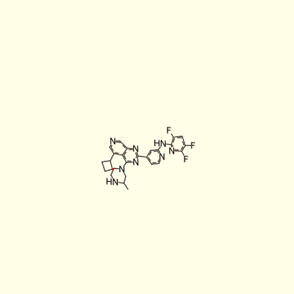 CC1CN(c2nc(-c3ccnc(Nc4nc(F)c(F)cc4F)c3)nc3cncc(C4CCC4)c23)CCN1